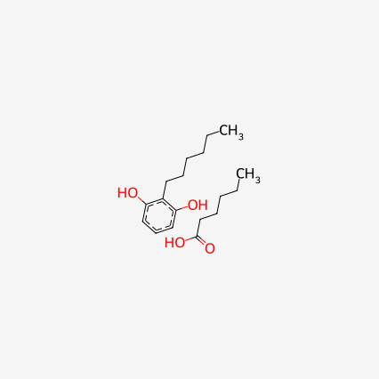 CCCCCC(=O)O.CCCCCCc1c(O)cccc1O